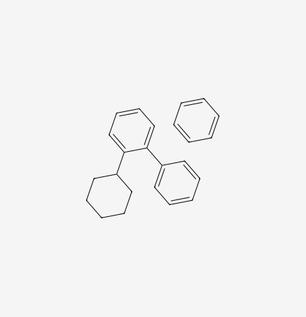 c1ccc(-c2ccccc2C2CCCCC2)cc1.c1ccccc1